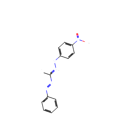 CC(/N=N/c1ccccc1)=N\Nc1ccc([N+](=O)[O-])cc1